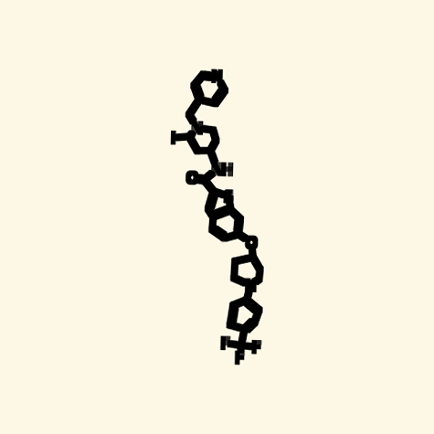 O=C(NC1CCN(Cc2ccncc2)C(I)C1)c1cc2ccc(OC3CCN(c4ccc(C(F)(F)F)cc4)CC3)cc2s1